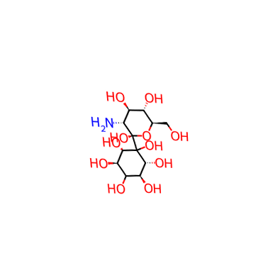 N[C@@H]1[C@@H](O)[C@H](O)[C@@H](CO)O[C@]1(O)C1(O)[C@H](O)[C@H](O)C(O)[C@H](O)[C@H]1O